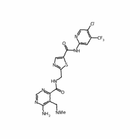 CNCc1c(N)ncnc1C(=O)NCc1ncc(C(=O)Nc2cc(C(F)(F)F)c(Cl)cn2)s1